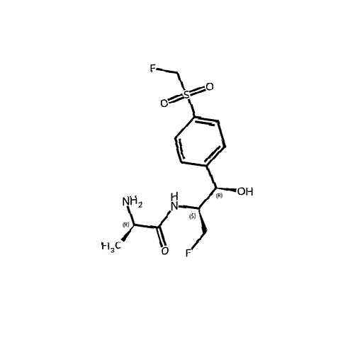 C[C@@H](N)C(=O)N[C@H](CF)[C@H](O)c1ccc(S(=O)(=O)CF)cc1